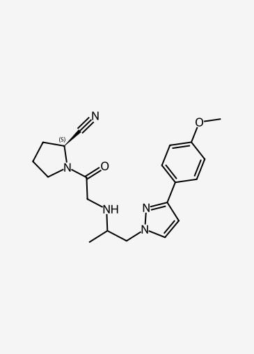 COc1ccc(-c2ccn(CC(C)NCC(=O)N3CCC[C@H]3C#N)n2)cc1